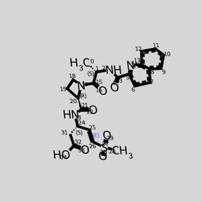 C[C@H](NC(=O)c1ccc2ccccc2n1)C(=O)N1CC[C@@H]1C(=O)N[C@H](/C=C/S(C)(=O)=O)CC(=O)O